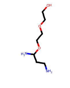 NCCC(N)OCCOCCO